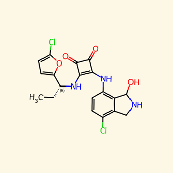 CC[C@@H](Nc1c(Nc2ccc(Cl)c3c2C(O)NC3)c(=O)c1=O)c1ccc(Cl)o1